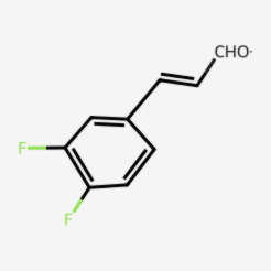 O=[C]/C=C/c1ccc(F)c(F)c1